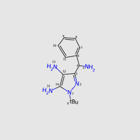 CC(C)(C)n1nc(C(N)c2ccccc2)c(N)c1N